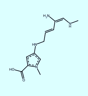 CN/C=C(/N)C=CCNc1cc(C(=O)O)n(C)c1